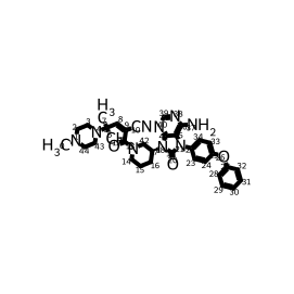 CN1CCN(C(C)(C)/C=C(/C#N)C(=O)N2CCC[C@H](n3c(=O)n(-c4ccc(Oc5ccccc5)cc4)c4c(N)ncnc43)C2)CC1